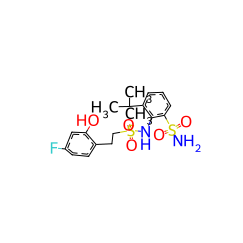 CC(C)(C)c1cccc(S(N)(=O)=O)c1NS(=O)(=O)CCc1ccc(F)cc1O